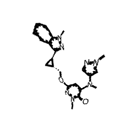 CN(c1cnn(C)c1)c1cc(OC[C@@H]2C[C@H]2c2nn(C)c3ccccc23)nn(C)c1=O